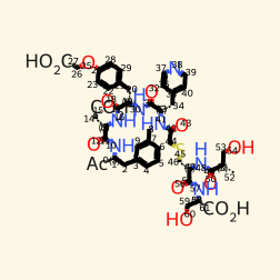 CC(=O)[C@H](Cc1cccc(C)c1)NC(=O)[C@H](CC(=O)O)NC(=O)[C@H](Cc1ccc(OCC(=O)O)cc1)NC(=O)[C@H](Cc1ccncc1)NC(=O)CSC[C@H](NC(=O)[C@@H](C)CO)C(=O)N[C@@H](CO)C(=O)O